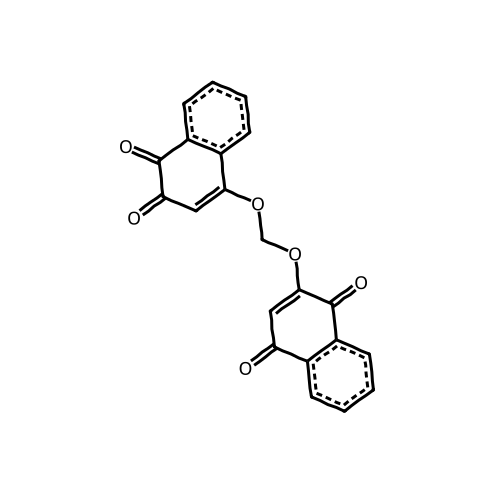 O=C1C=C(OCOC2=CC(=O)c3ccccc3C2=O)c2ccccc2C1=O